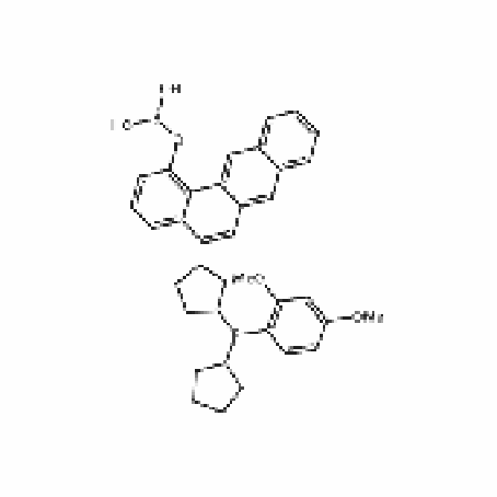 COc1ccc(P(C2CCCC2)C2CCCC2)c(OC)c1.OB(O)Oc1cccc2ccc3cc4ccccc4cc3c12